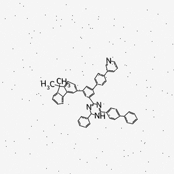 CC1(C)c2ccccc2-c2cc(-c3cc(C4=NC(c5ccccc5)NC(c5ccc(-c6ccccc6)cc5)=N4)cc(-c4ccc(-c5cccnc5)cc4)c3)ccc21